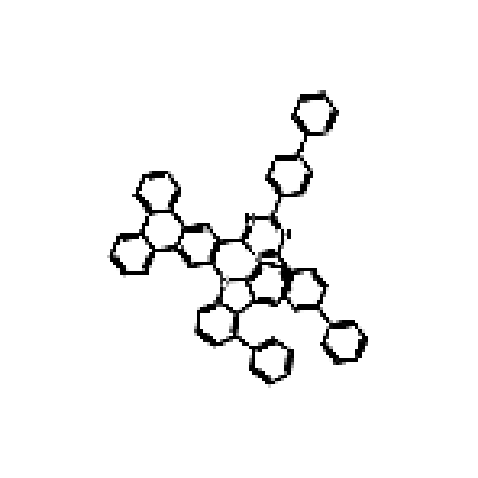 c1ccc(-c2ccc(-c3nc(-c4ccc(-c5ccccc5)cc4)nc(-c4cc5c6ccccc6c6ccccc6c5cc4-n4c5ccccc5c5c(-c6ccccc6)cccc54)n3)cc2)cc1